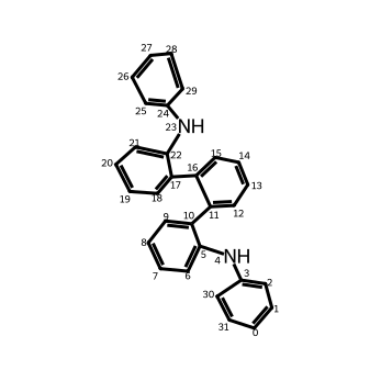 c1ccc(Nc2ccccc2-c2ccccc2-c2ccccc2Nc2ccccc2)cc1